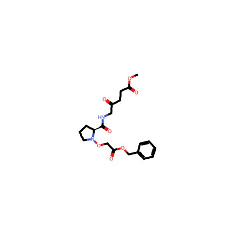 COC(=O)CCC(=O)CNC(=O)[C@@H]1CCCN1OCC(=O)OCc1ccccc1